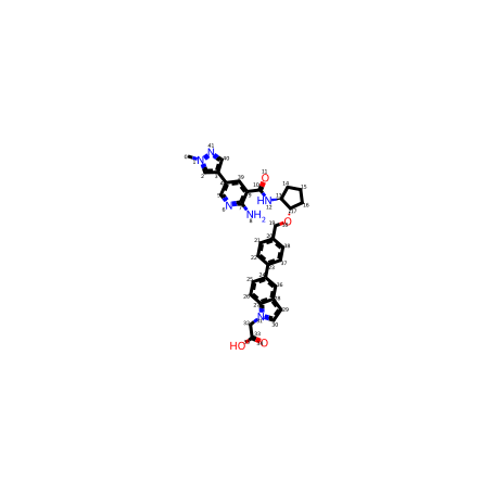 Cn1cc(-c2cnc(N)c(C(=O)N[C@H]3CCC[C@@H]3OCc3ccc(-c4ccc5c(ccn5CC(=O)O)c4)cc3)c2)cn1